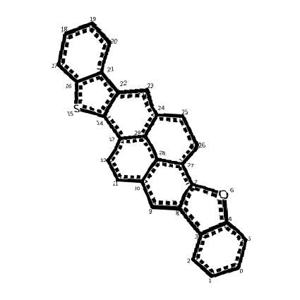 c1ccc2c(c1)oc1c2cc2ccc3c4sc5ccccc5c4cc4ccc1c2c43